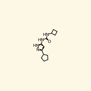 O=C(Nc1cc(C2CCCC2)n[nH]1)NC1CCC1